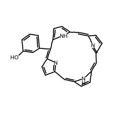 Oc1cccc(-c2c3nc(cc4ccc(cc5nc(cc6ccc2[nH]6)C=C5)[nH]4)C=C3)c1